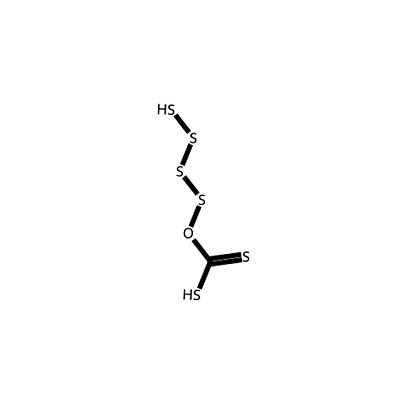 S=C(S)OSSSS